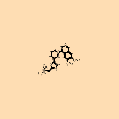 COc1cc2cnnc(N3CCCC(c4nnc(CN(C)C)o4)C3)c2cc1OC